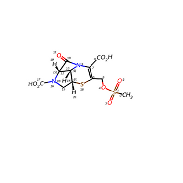 CS(=O)(=O)OCC1=C(C(=O)O)N2C(=O)[C@@H]3[C@H]2[C@@H](CN3C(=O)O)S1